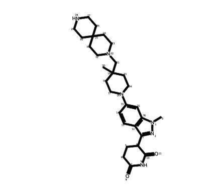 Cn1nc(C2CCC(=O)NC2=O)c2ccc(N3CCC(C)(CN4CCC5(CCNCC5)CC4)CC3)cc21